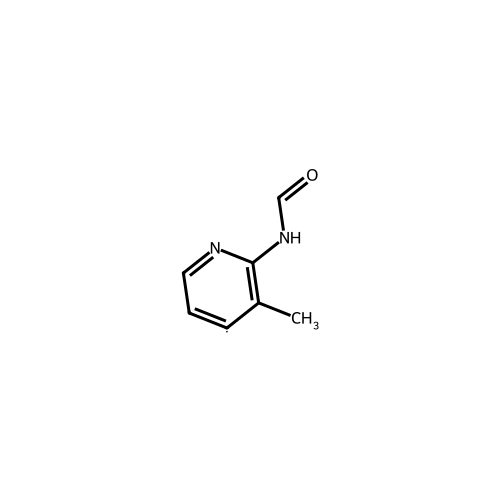 Cc1[c]ccnc1NC=O